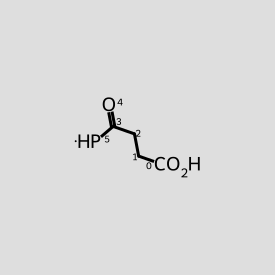 O=C(O)CCC(=O)[PH]